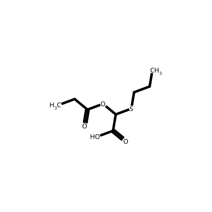 CCCSC(OC(=O)CC)C(=O)O